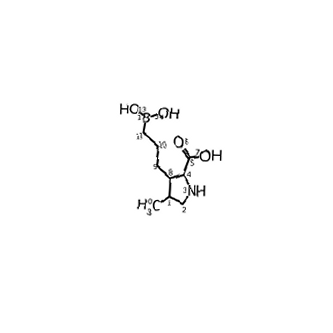 CC1CNC(C(=O)O)C1CCCB(O)O